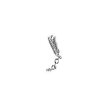 CCCc1ccc(-c2ccc(C(=O)OCC(F)(F)C(F)(F)C(F)(F)C(F)(F)C(F)(F)C(F)(F)C(F)(F)C(F)(F)C(F)(F)C(F)F)cc2)nc1